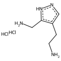 Cl.Cl.NCCc1cn[nH]c1CN